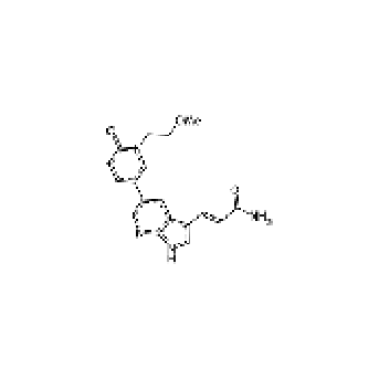 COCCn1cc(-c2cnc3[nH]cc(C=CC(N)=O)c3c2)ccc1=O